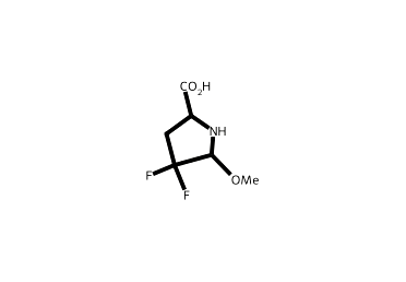 COC1NC(C(=O)O)CC1(F)F